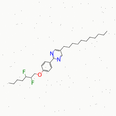 CCCCCCCCCCCc1cnc(-c2ccc(OCC(F)C(F)CCCC)cc2)nc1